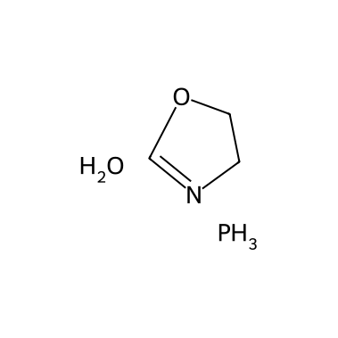 C1=NCCO1.O.P